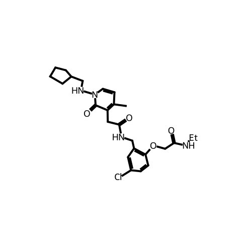 CCNC(=O)COc1ccc(Cl)cc1CNC(=O)Cc1c(C)ccn(NCC2CCCC2)c1=O